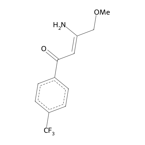 COC/C(N)=C/C(=O)c1ccc(C(F)(F)F)cc1